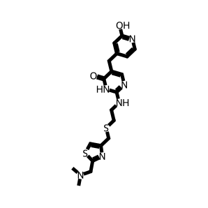 CN(C)Cc1nc(CSCCNc2ncc(Cc3ccnc(O)c3)c(=O)[nH]2)cs1